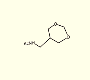 CC(=O)NCC1COCOC1